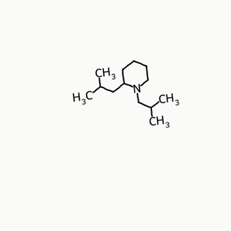 CC(C)CC1CCCCN1CC(C)C